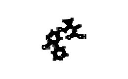 CN(C(=O)O)C1(COc2cnc(Cl)c(-c3ccncc3)c2)CC1